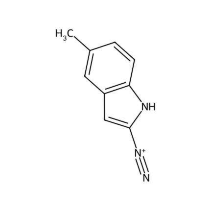 Cc1ccc2[nH]c([N+]#N)cc2c1